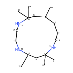 CC1CCCNC(C)(C)CC(C)NCCNC(C)(C)C1